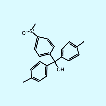 Cc1ccc(C(O)(c2ccc(C)cc2)c2ccc([S+](C)[O-])cc2)cc1